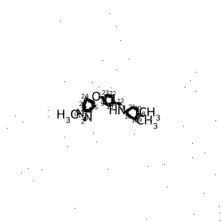 Cn1cnc2cc(Oc3ccc(CNC4CCC(C)(C)CC4)cc3)ccc21